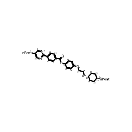 CCCCCc1cnc(-c2ccc(C(=O)Oc3ccc(OCCC[C@H]4CC[C@H](CCCCC)CC4)cc3)cc2)nc1